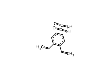 C=Cc1ccccc1C=C.N=C=O.N=C=O